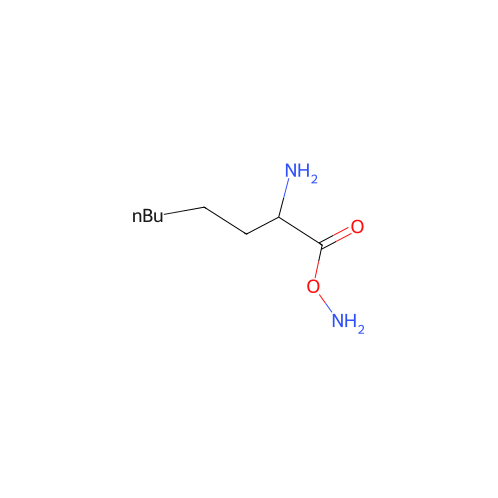 CCCCCCC(N)C(=O)ON